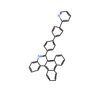 c1ccc(-c2ccc(-c3ccc(-c4nc5ccccc5c5c6ccccc6c6ccccc6c45)cc3)cc2)nc1